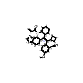 C=CC(=O)Oc1ccccc1/C(=C(/c1ccc(OC)cc1C#N)C1CCC1)c1ccc2scnc2c1